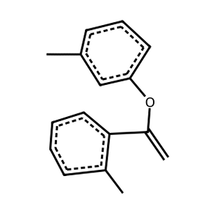 C=C(Oc1cccc(C)c1)c1ccccc1C